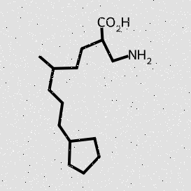 CC(CCCC1CCCC1)CCC(CN)C(=O)O